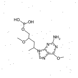 COc1nc(N)nc2c1ncn2C(C)CC(COP(O)O)OC